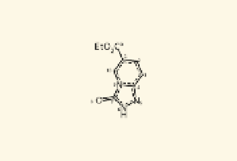 CCOC(=O)c1ccc2n[nH]c(=O)n2c1